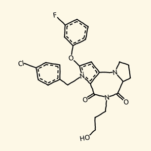 O=C1c2c(cc(Oc3cccc(F)c3)n2Cc2ccc(Cl)cc2)N2CCCC2C(=O)N1CCCO